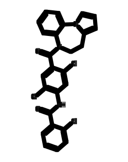 O=C(Nc1cc(Cl)c(C(=O)N2CCc3cccn3-c3ccccc32)cc1Cl)c1ccccc1Cl